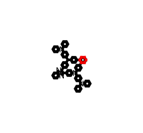 c1ccc(-c2ccc(C(c3ccc(-c4nc5ccccc5nc4-c4ccc(N(c5ccc(-c6ccccc6)cc5)c5ccc(N(c6ccccc6)c6ccccc6)cc5)cc4)cc3)c3ccc(N(c4ccccc4)c4ccccc4)cc3)cc2)cc1